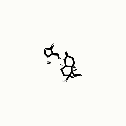 C=C1CC[C@H]2[C@@](C)(CCC(C)(O)[C@@]2(C)C=O)[C@@H]1C/C=C1/C(=O)OC[C@H]1O